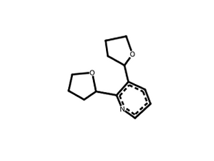 c1cnc(C2CCCO2)c(C2CCCO2)c1